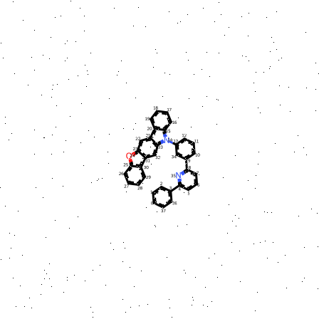 c1ccc(-c2cccc(-c3cccc(-n4c5ccccc5c5cc6oc7ccccc7c6cc54)c3)n2)cc1